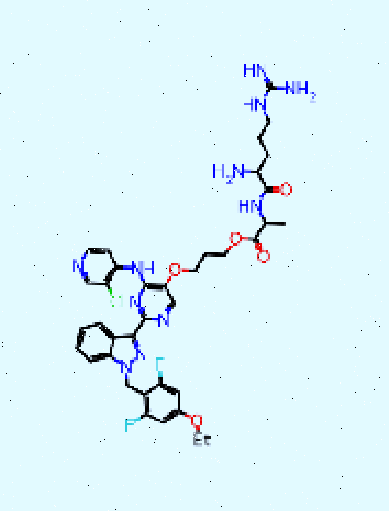 CCOc1cc(F)c(Cn2nc(-c3ncc(OCCCOC(=O)C(C)NC(=O)C(N)CCCNC(=N)N)c(Nc4ccncc4Cl)n3)c3ccccc32)c(F)c1